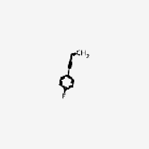 C=CC#Cc1ccc(F)cc1